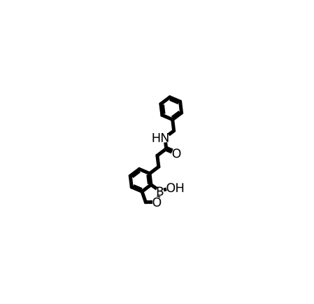 O=C(CCc1cccc2c1B(O)OC2)NCc1ccccc1